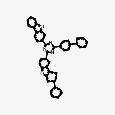 c1ccc(-c2ccc(-c3nc(-c4ccc5c(c4)oc4ccccc45)nc(-c4ccc5oc6cc(-c7ccccc7)ccc6c5c4)n3)cc2)cc1